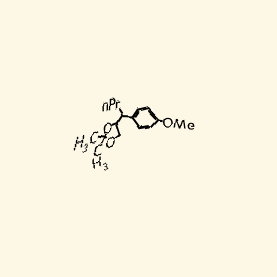 [CH2]CCC(c1ccc(OC)cc1)C1COC(C)(C)O1